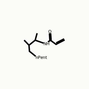 C=CC(=O)NC(C)C(C)CCCCCC